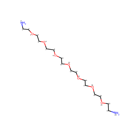 NCCOCCOCCOCCOCCOCCOCCOCCN